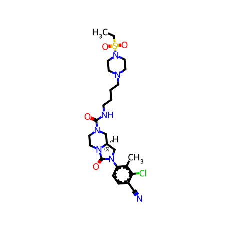 CCS(=O)(=O)N1CCN(CCCCNC(=O)N2CCN3C(=O)N(c4ccc(C#N)c(Cl)c4C)C[C@@H]3C2)CC1